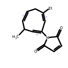 CC/C1=C/C(N2C(=O)C=CC2=O)=C\C(C)/C=C\C1